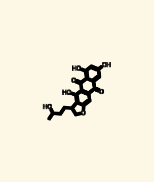 CC(O)CCC1COc2cc3c(c(O)c21)C(=O)c1c(O)cc(O)cc1C3=O